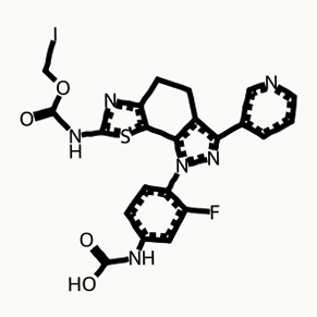 O=C(O)Nc1ccc(-n2nc(-c3cccnc3)c3c2-c2sc(NC(=O)OCI)nc2CC3)c(F)c1